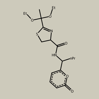 CCCC(NC(=O)C1CSC(C(C)(OCC)OCC)=N1)c1cccc(=O)o1